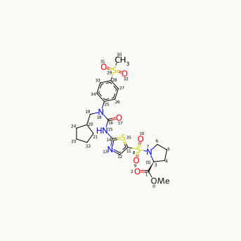 COC(=O)[C@@H]1CCCN1S(=O)(=O)c1cnc(NC(=O)N(CC2CCCC2)c2ccc(S(C)(=O)=O)cc2)s1